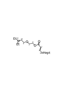 CCCCCCCC=CC(=O)OCCOCCN(CC)CC